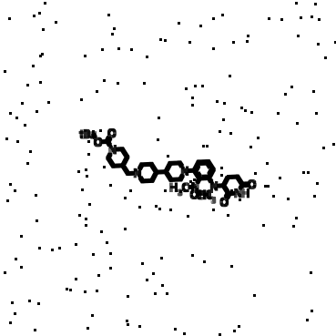 CN(C)c1c(N2CCC(C3CCN(CC4CCN(C(=O)OC(C)(C)C)CC4)CC3)CC2)cccc1N(C=O)C1CCC(=O)NC1=O